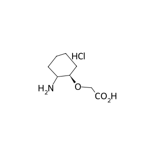 Cl.NC1CCCC[C@H]1OCC(=O)O